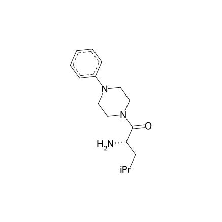 CC(C)C[C@H](N)C(=O)N1CCN(c2ccccc2)CC1